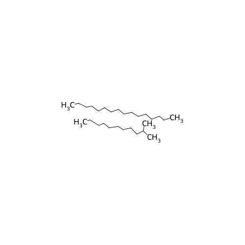 CCCCCCCCCC(C)C.CCCCCCCCCCCCCCCC